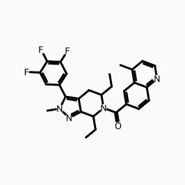 CCC1Cc2c(nn(C)c2-c2cc(F)c(F)c(F)c2)C(CC)N1C(=O)c1ccc2nccc(C)c2c1